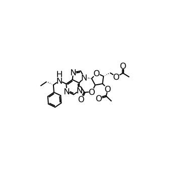 CC[C@H](Nc1ncnc2c1ncn2[C@@H]1O[C@H](COC(C)=O)C(OC(C)=O)C1OC(C)=O)c1ccccc1